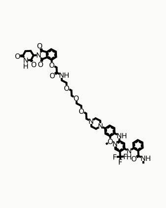 CNC(=O)c1ccccc1Nc1cc(Nc2ccc(N3CCN(CCOCCOCCOCCNC(=O)COc4cccc5c4C(=O)N(C4CCC(=O)NC4=O)C5=O)CC3)cc2OC)ncc1C(F)(F)F